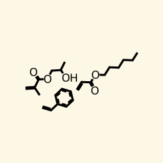 C=C(C)C(=O)OCC(C)O.C=CC(=O)OCCCCCC.C=Cc1ccccc1